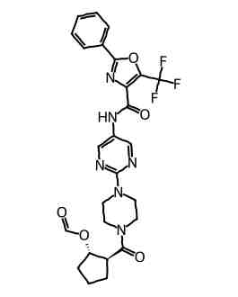 O=CO[C@H]1CCC[C@@H]1C(=O)N1CCN(c2ncc(NC(=O)c3nc(-c4ccccc4)oc3C(F)(F)F)cn2)CC1